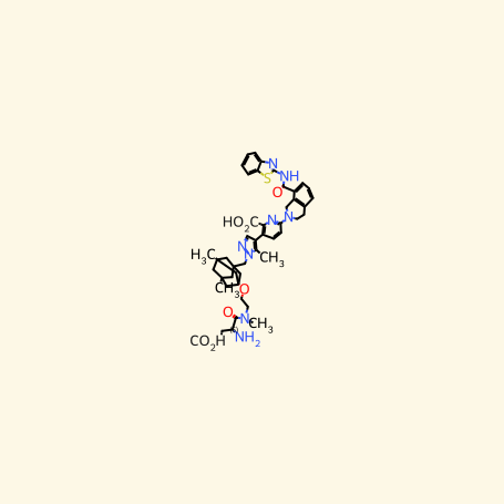 Cc1c(-c2ccc(N3CCc4cccc(C(=O)Nc5nc6ccccc6s5)c4C3)nc2C(=O)O)cnn1CC12CC3(C)CC(C)(C1)CC(OCCN(C)C(=O)[C@@H](N)CC(=O)O)(C3)C2